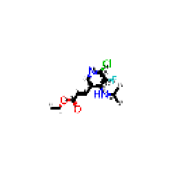 CCOC(=O)/C=C/c1cnc(Cl)c(F)c1NC(C)C